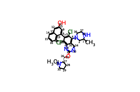 CC1CN(c2c(Cl)c(-c3cc(O)cc4cccc(Cl)c34)c(F)c3nc(OC[C@@H]4CCCN4C)ncc23)CCN1